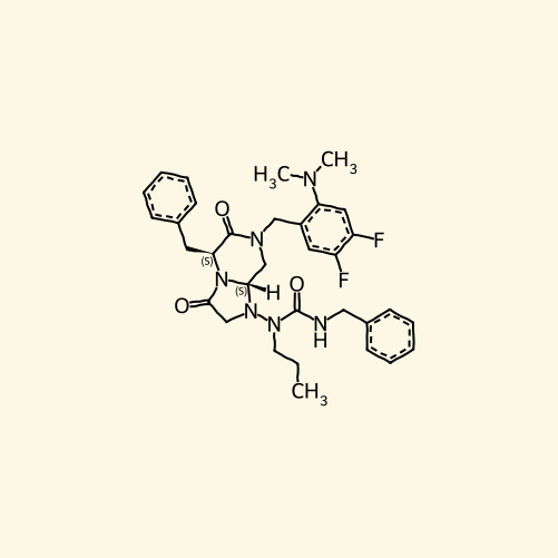 CCCN(C(=O)NCc1ccccc1)N1CC(=O)N2[C@@H](Cc3ccccc3)C(=O)N(Cc3cc(F)c(F)cc3N(C)C)C[C@@H]21